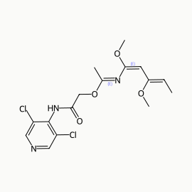 CC=C(/C=C(\N=C(/C)OCC(=O)Nc1c(Cl)cncc1Cl)OC)OC